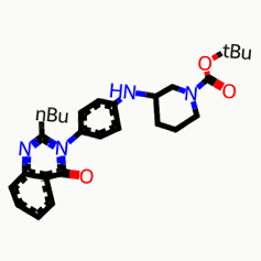 CCCCc1nc2ccccc2c(=O)n1-c1ccc(NC2CCCN(C(=O)OC(C)(C)C)C2)cc1